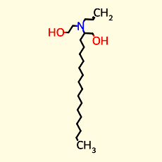 C=CCN(CCO)C(CO)CCCCCCCCCCCCCCCC